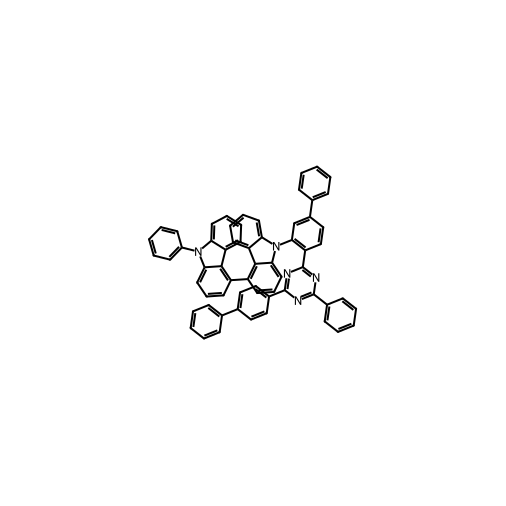 c1ccc(-c2ccc(-c3nc(-c4ccccc4)nc(-c4ccc(-c5ccccc5)cc4-n4c5ccccc5c5c(-c6cccc7c6c6ccccc6n7-c6ccccc6)cccc54)n3)cc2)cc1